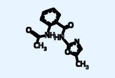 CC(=O)Nc1ccccc1C(=O)Nc1ncc(C)o1